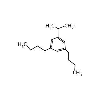 [CH2]C(C)c1cc(CCCC)cc(CCCC)c1